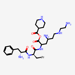 CC(C)C[C@@H](NC(=O)[C@H](N)Cc1ccccc1)C(=O)NC(CC(N)CCNCCN)C(=O)OC(=O)C1CCNCC1